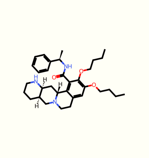 CCCCOc1cc2c(c(C(=O)N[C@H](C)c3ccccc3)c1OCCCC)[C@H]1C[C@@H]3NCCC[C@@H]3CN1CC2